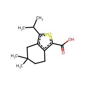 CC(C)c1sc(C(=O)O)c2c1CC(C)(C)CC2